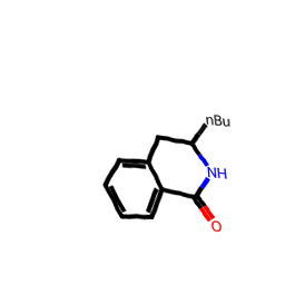 CCCCC1Cc2ccccc2C(=O)N1